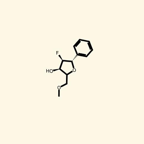 COCC1O[C@@H](c2ccccc2)[C@H](F)[C@@H]1O